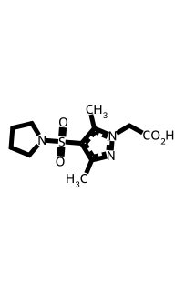 Cc1nn(CC(=O)O)c(C)c1S(=O)(=O)N1CCCC1